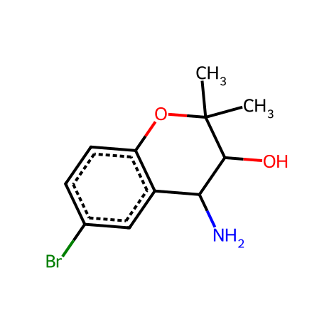 CC1(C)Oc2ccc(Br)cc2C(N)C1O